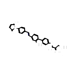 C=C(CO)C(=O)Oc1ccc(-c2ccc(/C=C/c3ccc(N4C(=O)C=CC4=O)cc3)cc2C)cc1